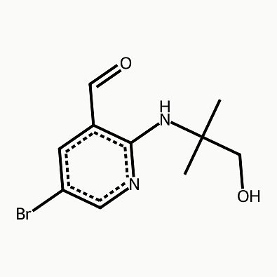 CC(C)(CO)Nc1ncc(Br)cc1C=O